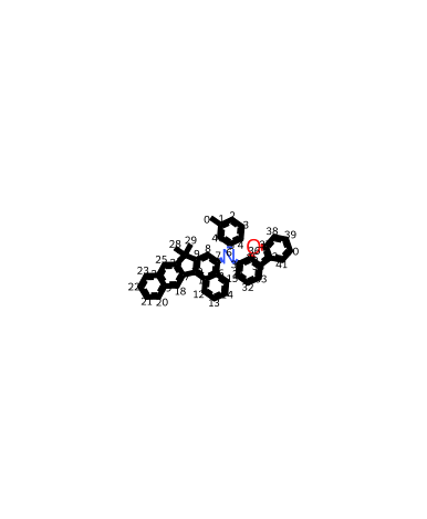 Cc1cccc(N(c2cc3c(c4ccccc24)-c2cc4ccccc4cc2C3(C)C)c2cccc3c2oc2ccccc23)c1